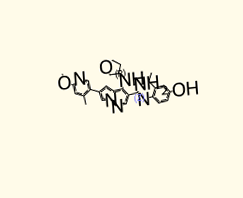 CCc1cc(O)ccc1/N=C(\N)c1cnn2cc(-c3cnc(OC)cc3C)cc2c1N[C@@H]1CCOC1